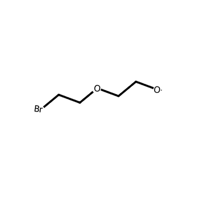 [O]CCOCCBr